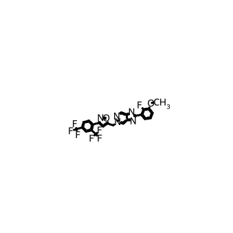 COc1cccc(-c2nc3cnn(Cc4cc(-c5ccc(C(F)(F)F)cc5C(F)(F)F)no4)cc-3n2)c1F